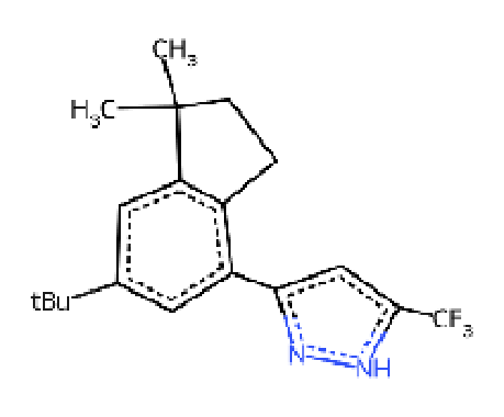 CC(C)(C)c1cc(-c2cc(C(F)(F)F)[nH]n2)c2c(c1)C(C)(C)CC2